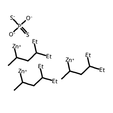 CCC(CC)C[CH](C)[Zn+].CCC(CC)C[CH](C)[Zn+].CCC(CC)C[CH](C)[Zn+].[O-]P([O-])(=S)[S-]